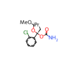 COCO[C@](CC(C)C)(OC(N)=O)c1ccccc1Cl